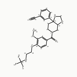 COc1cc(C(=O)N2CCC3(c4cccc(C#N)c4)OCOC3C2)ccc1OCCOC(F)(F)F